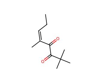 CCC=C(C)C(=O)C(=O)C(C)(C)C